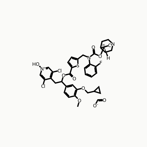 COc1ccc(C(Cc2c(Cl)c[n+](O)cc2Cl)OC(=O)c2ccc(CN(C(=O)O[C@H]3CN4CCC3CC4)c3ccccc3F)s2)cc1OCC1CC1.O=C[O-]